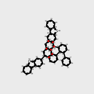 c1ccc(-c2ccccc2-c2c(-c3ccccc3)cccc2N(c2ccc(-c3ccc4c(c3)oc3ccccc34)cc2)c2ccc3c(c2)sc2ccccc23)cc1